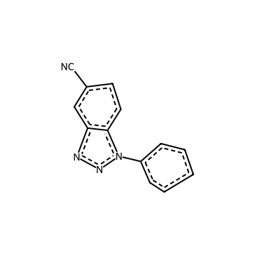 N#Cc1ccc2c(c1)nnn2-c1ccccc1